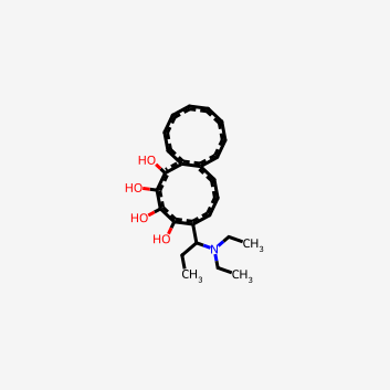 CCC(c1cccc2ccccccccc2c(O)c(O)c(O)c1O)N(CC)CC